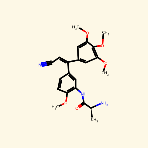 COc1ccc(/C(=C\C#N)c2cc(OC)c(OC)c(OC)c2)cc1NC(=O)[C@H](C)N